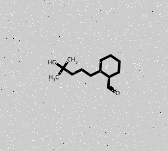 CC(C)(O)CCCC1CCCCC1C=O